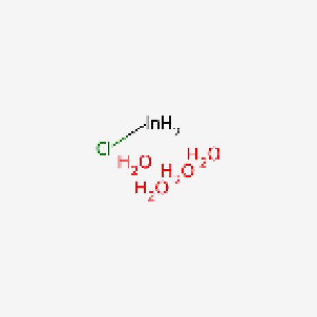 O.O.O.O.[Cl][InH2]